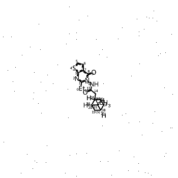 CCc1nc2sccc2c(=O)n1NC(=O)C[C@@H]1CC[C@H]2C[C@H]1C2(C)C